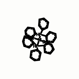 [Br][Ni]([Br])([PH](c1ccccc1)(c1ccccc1)c1ccccc1)[PH](c1ccccc1)(c1ccccc1)c1ccccc1